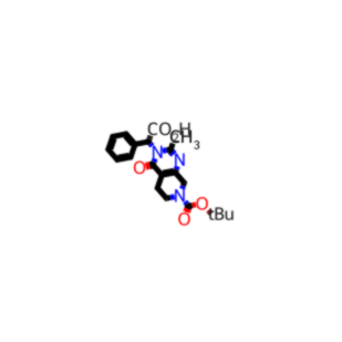 Cc1nc2c(c(=O)n1C(C(=O)O)c1ccccc1)CCN(C(=O)OC(C)(C)C)C2